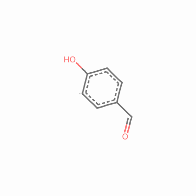 O=Cc1c[c]c(O)cc1